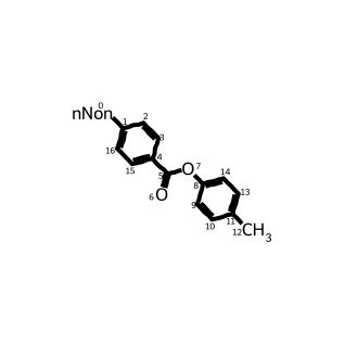 CCCCCCCCCc1ccc(C(=O)Oc2ccc(C)cc2)cc1